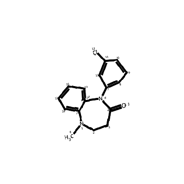 CN1CCC(=O)N(c2cccc(Cl)c2)c2ccccc21